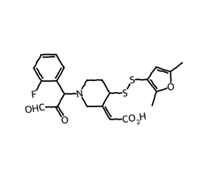 Cc1cc(SSC2CCN(C(C(=O)C=O)c3ccccc3F)C/C2=C/C(=O)O)c(C)o1